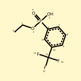 CCOP(=O)(O)c1cccc(C(F)(F)F)c1